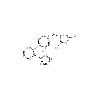 CCCCc1nc(C(C)C)nn1Cc1ccc(-c2ccccc2-c2nnn[nH]2)nc1